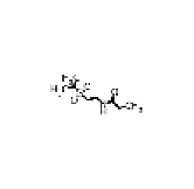 CCC(=O)NCCS(=O)(=O)C(C)C